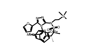 COc1cccc(OC)c1-n1c(-c2ccco2)nnc1N(CC[Si](C)(C)C)S(=O)(=O)[C@@H](C)[C@H](C)c1ncc(F)cn1